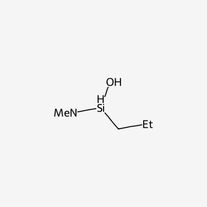 CCC[SiH](O)NC